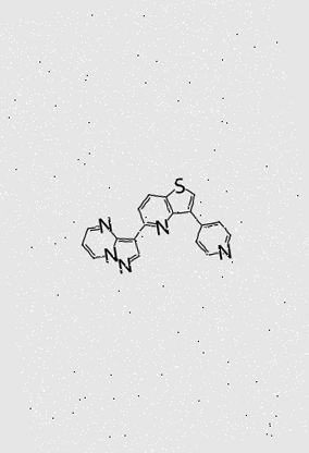 c1cnc2c(-c3ccc4scc(-c5ccncc5)c4n3)cnn2c1